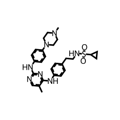 Cc1cnc(Nc2ccc(N3CCN(C)CC3)cc2)nc1Nc1ccc(CCNS(=O)(=O)C2CC2)cc1